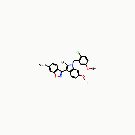 COc1ccc2c(-c3c(C)n(Cc4cc(OC(C)C)ccc4Cl)c4cc(OC(F)(F)F)ccc34)noc2c1